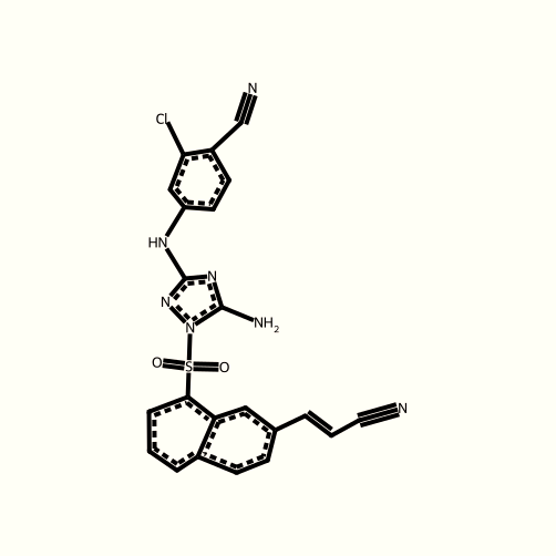 N#CC=Cc1ccc2cccc(S(=O)(=O)n3nc(Nc4ccc(C#N)c(Cl)c4)nc3N)c2c1